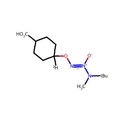 [2H]C1(O/N=[N+](\[O-])N(C)C(C)(C)C)CCC(C(=O)O)CC1